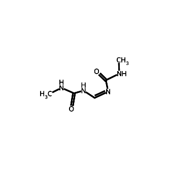 CNC(=O)/N=C\NC(=O)NC